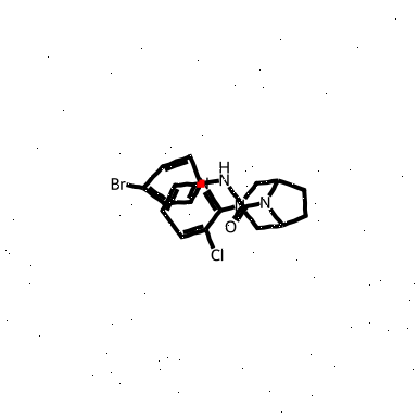 O=C(Nc1ccc(Br)cc1)N1C2CCC1CN(c1ncccc1Cl)C2